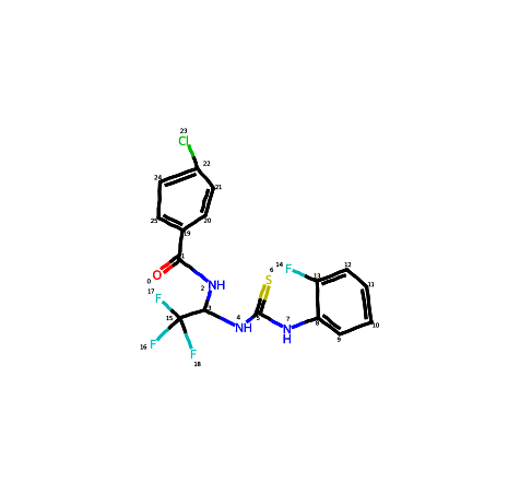 O=C(NC(NC(=S)Nc1ccccc1F)C(F)(F)F)c1ccc(Cl)cc1